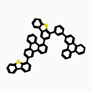 C1=Cc2c(c3ccc(-c4cccc(-c5cc(-c6cccc7c8cc(-c9cccc%10c9sc9ccccc9%10)ccc8c8ccccc8c67)cc6c5sc5ccccc56)c4)cc3c3ccccc23)CC1